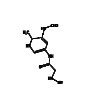 CCCNCC(=O)NC1=CNC(C)C(NC=O)=C1